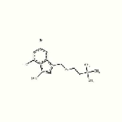 Cc1cc(Br)cc2c1c(C=O)nn2COCC[Si](C)(C)C